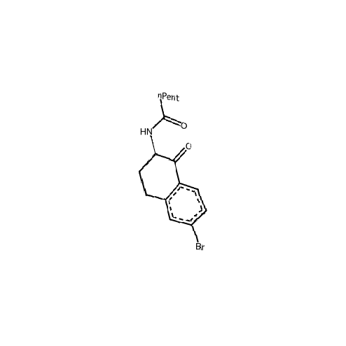 CCCCCC(=O)NC1CCc2cc(Br)ccc2C1=O